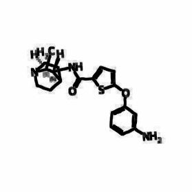 C[C@H]1[C@H](NC(=O)c2ccc(Oc3cccc(N)c3)s2)C2CCN1CC2